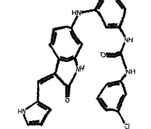 O=C(Nc1cccc(Cl)c1)Nc1cccc(Nc2ccc3c(c2)NC(=O)/C3=C\c2ccc[nH]2)c1